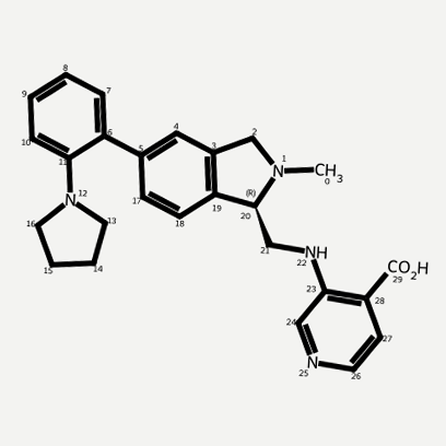 CN1Cc2cc(-c3ccccc3N3CCCC3)ccc2[C@@H]1CNc1cnccc1C(=O)O